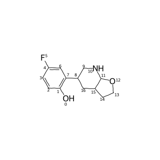 Oc1ccc(F)cc1C1CNC2OCCC2C1